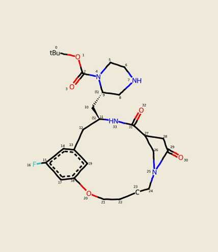 CC(C)(C)OC(=O)N1CCNC[C@@H]1C[C@@H]1Cc2cc(F)cc(c2)OCCCCN2CC(CC2=O)C(=O)N1